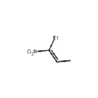 C/C=C(\CC)[N+](=O)[O-]